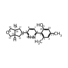 Cc1cc(C)c(-c2ccc(N3C[C@@H]4COC[C@H]4C3)nn2)c(O)c1